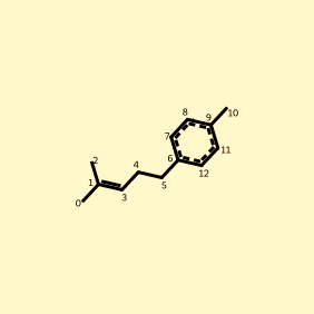 CC(C)=CCCc1c[c]c(C)cc1